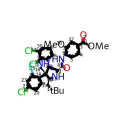 COC(=O)c1ccc(NC(=O)[C@@H]2N[C@@H](CC(C)(C)C)[C@](CN)(c3ccc(Cl)cc3F)[C@@H]2c2cccc(Cl)c2Cl)c(OC)c1